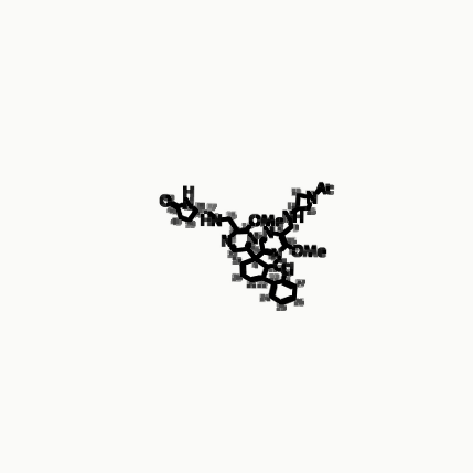 COc1nc(C2(c3cnc(CNC4CN(C(C)=O)C4)c(OC)n3)C=CC=C(c3ccccc3Cl)C2Cl)cnc1CNC[C@@H]1CCC(=O)N1